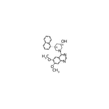 COc1cc2ncnc(N3C[C@@H](O)C[C@@H](c4cccc5ccccc45)C3)c2cc1OC